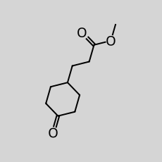 COC(=O)CCC1CCC(=O)CC1